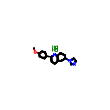 COc1ccc(-c2ccc3cc(-n4ccnc4)ccc3n2)cc1.Cl.Cl